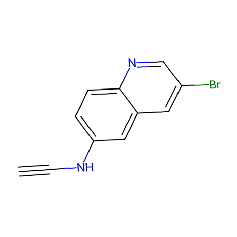 C#CNc1ccc2ncc(Br)cc2c1